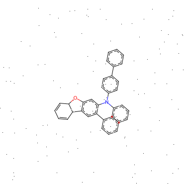 C1=CC2Oc3cc(N(c4ccccc4)c4ccc(-c5ccccc5)cc4)c(-c4ccccc4)cc3C2C=C1